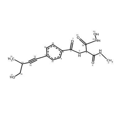 CNC(=O)C(NC(=O)c1ccc(C#CC(C)CO)cc1)C(=O)NO